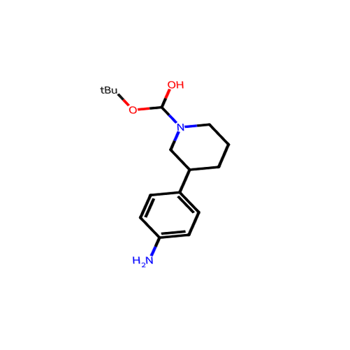 CC(C)(C)OC(O)N1CCCC(c2ccc(N)cc2)C1